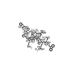 CSCC[C@H](NC(=O)[C@@H]1CCCN1C(=O)CNC(=O)[C@H](CCCCN)NC(=O)[C@H](Cc1c[nH]cn1)NC(=O)[C@H](CO)NC(=O)[C@H](CC(C)C)NC(=O)[C@H](CCCNC(=N)N)NC(=O)[C@@H]1CCCN1C(=O)[C@H](CCCNC(=N)N)NC(=O)[C@H](CCC(N)=O)NC(=O)OCC1c2ccccc2-c2ccccc21)C(=O)N1CCC[C@H]1C(=O)N[C@@H](Cc1ccccc1)C(=O)O